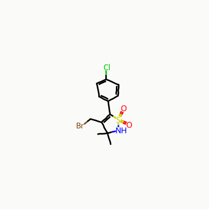 CC1(C)NS(=O)(=O)C(c2ccc(Cl)cc2)=C1CBr